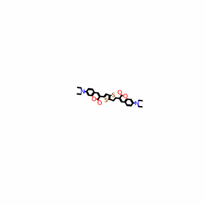 CCN(CC)c1ccc2cc(-c3cc4c(s3)CC(c3cc5ccc(N(CC)CC)cc5oc3=O)S4)c(=O)oc2c1